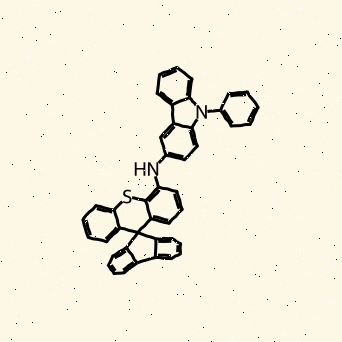 c1ccc(-n2c3ccccc3c3cc(Nc4cccc5c4Sc4ccccc4C54c5ccccc5-c5ccccc54)ccc32)cc1